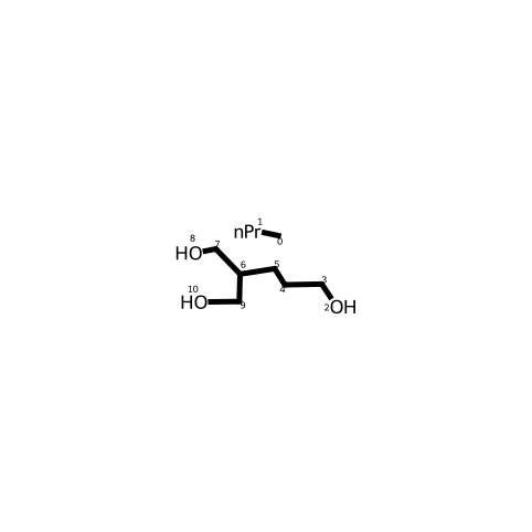 CCCC.OCCCC(CO)CO